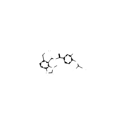 COCc1ccc2c(c1CNC(=O)c1ccc(OC(F)F)c(Cl)c1)N(C)CN2